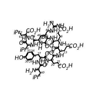 CCC(C)C(NC(=O)C(CCC(=O)O)NC(=O)C(CCC(=O)O)NC(=O)C(CCC(=O)O)NC(=O)C(Cc1ccc(O)cc1)NC(=O)C(N)CC(C)C)C(=O)NC(CCCNC(=N)N)C(=O)NC(C(=O)NC(CC(C)C)C(=O)O)C(C)C